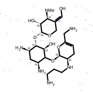 CN[C@H]1/C(=C\O)CO[C@H](O[C@H]2[C@H](N)C[C@H](N)C(O[C@H]3OC(CN)=CC[C@H]3NCCCN)[C@@H]2O)[C@@H]1O